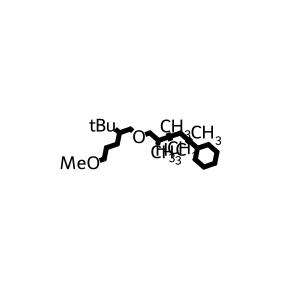 COCCCC(COCC(C)C(C)(C)CC(C)(C)C1CCCCC1)C(C)(C)C